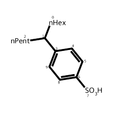 CCCCCCC(CCCCC)c1ccc(S(=O)(=O)O)cc1